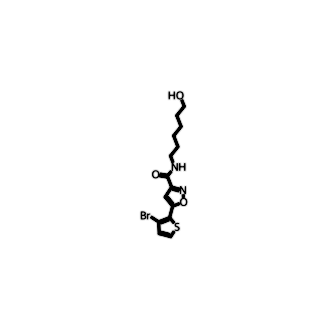 O=C(NCCCCCCO)c1cc(-c2sccc2Br)on1